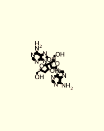 Nc1ncnc2c1ncn2[C@H]1C[C@@](O)([C@@]2(n3cnc4c(N)ncnc43)O[C@H](CO)C[C@H]2O)[C@@H](CO)O1